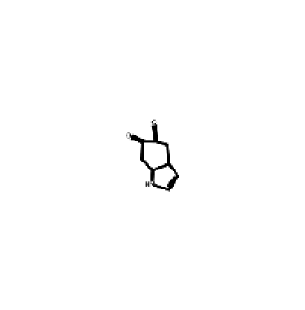 O=C1CC2C=CNC2CC1=O